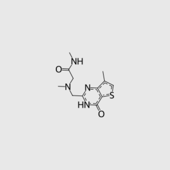 CNC(=O)CN(C)Cc1nc2c(C)csc2c(=O)[nH]1